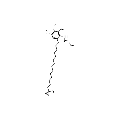 CCOC(=O)Nc1c(CCCCCCCCCCCCCCC2(C=O)CC2)cc(OC)c(OC)c1C=O